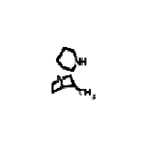 C1CCNCC1.CC1CN2CCC12